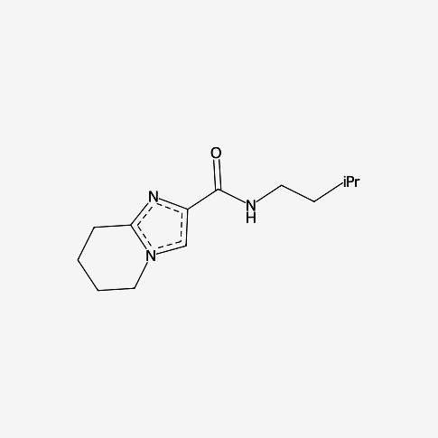 CC(C)CCNC(=O)c1cn2c(n1)CCCC2